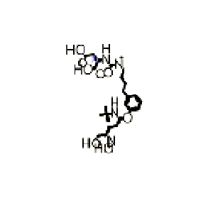 CN(CCCCc1cccc(OC(CCC(CO)=NO)NC(C)(C)C)c1)C(=O)N/C(=C/C(=O)O)C(=O)O